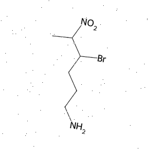 CC(C(Br)CCCN)[N+](=O)[O-]